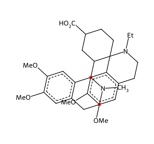 CCN1CCc2cc(OC)c(OC)cc2C12CCC(C(=O)O)CC2C1c2cc(OC)c(OC)cc2CCN1C